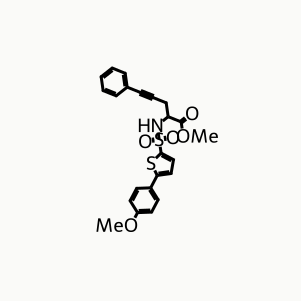 COC(=O)C(CC#Cc1ccccc1)NS(=O)(=O)c1ccc(-c2ccc(OC)cc2)s1